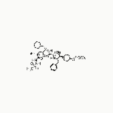 CCCC[C@H](NC(Cc1ccccc1)C(=O)N1CCC(OCOC)CC1)C(=O)N[C@@H](CC1CCCCC1)[C@@H](O)C[C@H](C(=O)NNS(C)(=O)=O)C(C)C